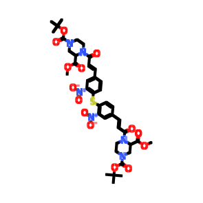 COC(=O)C1CN(C(=O)OC(C)(C)C)CCN1C(=O)/C=C/c1ccc(Sc2ccc(/C=C/C(=O)N3CCN(C(=O)OC(C)(C)C)CC3C(=O)OC)cc2[N+](=O)[O-])c([N+](=O)[O-])c1